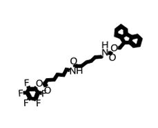 O=C(CCCCCNC(=O)OCC1c2ccccc2-c2ccccc21)NCCCCCC(=O)Oc1c(F)c(F)c(F)c(F)c1F